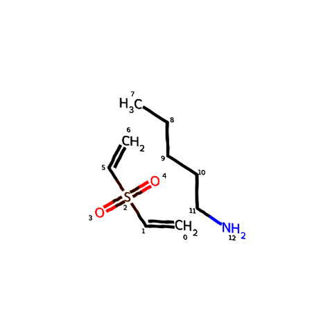 C=CS(=O)(=O)C=C.CCCCCN